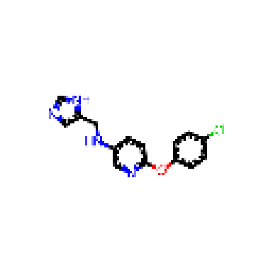 Clc1ccc(Oc2ccc(NCc3cnc[nH]3)cn2)cc1